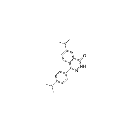 CN(C)c1ccc(-c2n[nH]c(=O)c3cc(N(C)C)ccc23)cc1